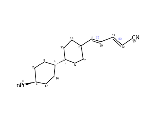 CCC[C@H]1CC[C@H](C2CCC(/C=C/C=C/C#N)CC2)CC1